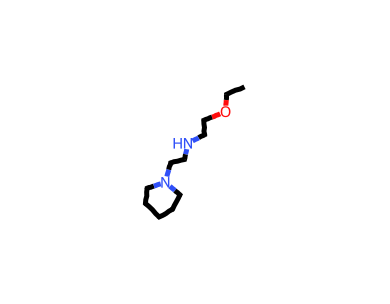 CCOCCNCCN1CCCCC1